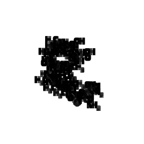 CC(C)C[C@H](NC(=O)[C@H](C)NC(=O)[C@H](CC(=O)O)NC(=O)[C@H](CCC(=O)O)NC(=O)[C@H](C)NC(=O)[C@H](C)NC(=O)[C@H](CCC(N)=O)NC(=O)[C@H](CCC(N)=O)NC(=O)[C@H](C)NC(=O)[C@H](C)NC(=O)[C@@H](N(C)C(=O)[C@H](C)NC(=O)[C@H](CC(C)C)NC(=O)[C@@H]1CCCN1C(=O)[C@H](CC(N)=O)NC(=O)[C@H](CO)NC(=O)CN)C(C)(C)C)C(=O)N[C@@H](C)C(=O)N[C@@H](CO)C(=O)O